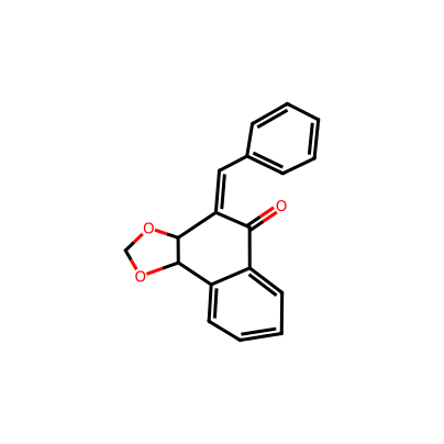 O=C1C(=Cc2ccccc2)C2OCOC2c2ccccc21